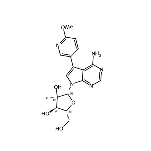 COc1ccc(-c2cn([C@@H]3O[C@H](CO)[C@@H](O)[C@@]3(C)O)c3ncnc(N)c23)cn1